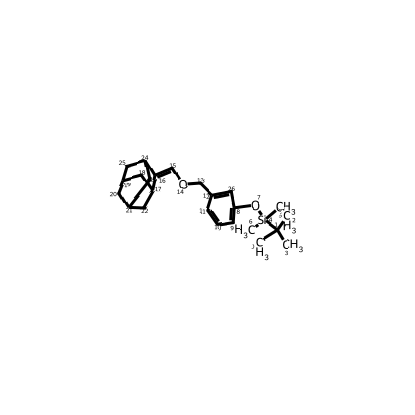 CC(C)(C)[Si](C)(C)Oc1cccc(COC=C2C3CC4CC(C3)CC2C4)c1